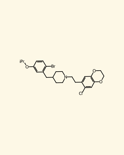 CC(C)Oc1ccc(Br)c(CC2CCN(CCc3cc4c(cc3Cl)OCCO4)CC2)c1